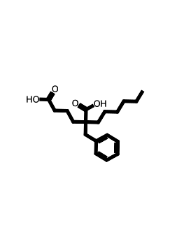 CCCCCCC(CCCC(=O)O)(Cc1ccccc1)C(=O)O